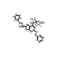 CC(C)(CO)NC1=CN(SCc2ccccc2)Cc2sc(NCCc3ccccc3)nc21